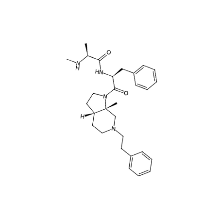 CN[C@@H](C)C(=O)N[C@@H](Cc1ccccc1)C(=O)N1CC[C@H]2CCN(CCc3ccccc3)C[C@]21C